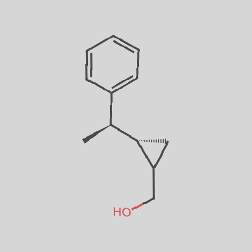 C[C@@H](c1ccccc1)[C@@H]1CC1CO